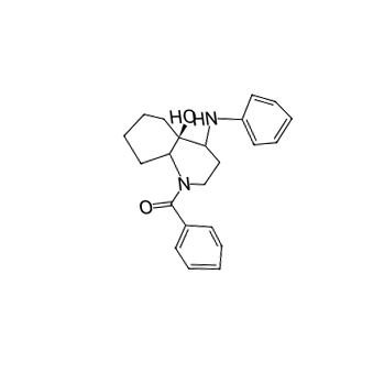 O=C(c1ccccc1)N1CCC(Nc2ccccc2)[C@@]2(O)CCCCC12